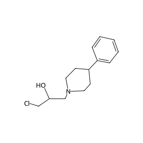 OC(CCl)CN1CCC(c2ccccc2)CC1